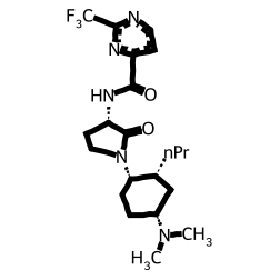 CCC[C@@H]1C[C@H](N(C)C)CC[C@@H]1N1CC[C@H](NC(=O)c2ccnc(C(F)(F)F)n2)C1=O